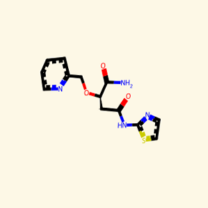 NC(=O)[C@@H]([CH]C(=O)Nc1nccs1)OCc1ccccn1